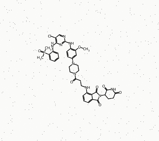 COc1cc(N2CCN(C(=O)CCNc3cccc4c3C(=O)N(C3CCC(=O)NC3=O)C4=O)CC2)ccc1Nc1ncc(Cl)c(Nc2ccccc2P(C)(C)=O)n1